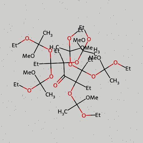 CCOC(C)(OC)OC(CC)(OC(C)(OC)OCC)C(CC)(OC(C)(OC)OCC)C(=O)C(CC)(OC(C)(OC)OCC)C(CC)(OC(C)(OC)OCC)OC(C)(OC)OCC